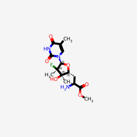 COC(=O)C(N)C[C@H]1O[C@H](n2cc(C)c(=O)[nH]c2=O)[C@](C)(F)[C@]1(C)O